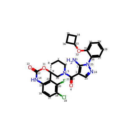 Nc1c(C(=O)N2CCC[C@@]3(C2)OC(=O)Nc2ccc(Cl)c(F)c23)cnn1-c1ccccc1OC1CCC1